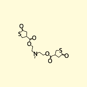 CN(CCOC(=O)C1CSC(=O)C1)CCOC(=O)C1CSC(=O)C1